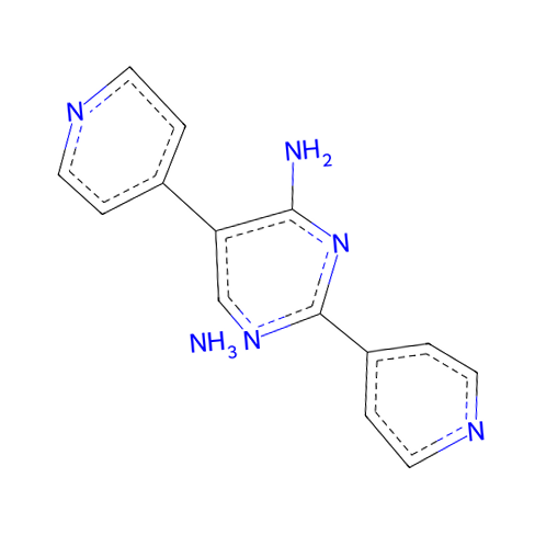 N.Nc1nc(-c2ccncc2)ncc1-c1ccncc1